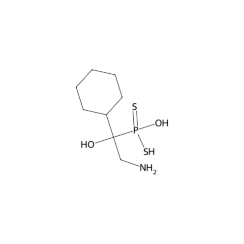 NCC(O)(C1CCCCC1)P(O)(=S)S